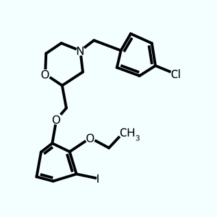 CCOc1c(I)cccc1OCC1CN(Cc2ccc(Cl)cc2)CCO1